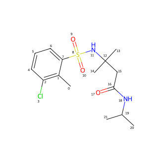 Cc1c(Cl)cccc1S(=O)(=O)NC(C)(C)CC(=O)NC(C)C